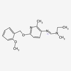 CCN(C)/C=N/c1ccc(OCc2ccccc2OC)nc1C